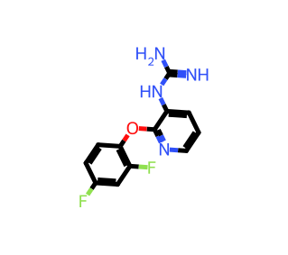 N=C(N)Nc1cccnc1Oc1ccc(F)cc1F